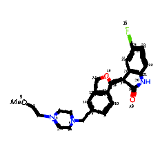 COCCN1CCN(Cc2ccc3c(c2)CO/C3=C2/C(=O)Nc3ccc(F)cc32)CC1